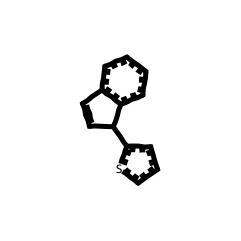 C1=CC(c2cccs2)c2ccccc21